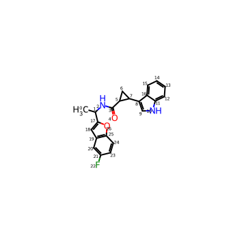 CC(NC(=O)C1CC1c1c[nH]c2ccccc12)c1cc2cc(F)ccc2o1